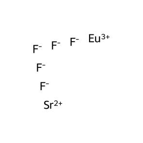 [Eu+3].[F-].[F-].[F-].[F-].[F-].[Sr+2]